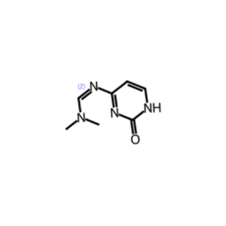 CN(C)/C=N\c1cc[nH]c(=O)n1